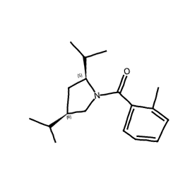 Cc1ccccc1C(=O)N1C[C@@H](C(C)C)C[C@H]1C(C)C